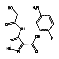 Nc1ccc(F)cc1.O=C(CO)Nc1c[nH]nc1C(=O)O